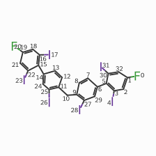 Fc1cc(I)c(-c2ccc(Cc3ccc(-c4c(I)cc(F)cc4I)cc3I)c(I)c2)c(I)c1